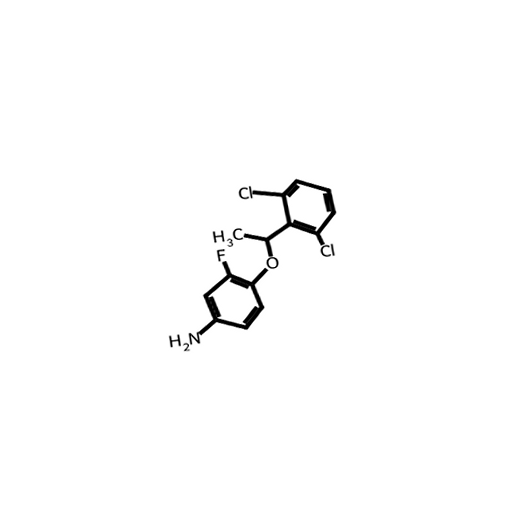 CC(Oc1ccc(N)cc1F)c1c(Cl)cccc1Cl